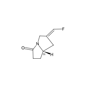 O=C1CC[C@H]2CC(=CF)CN12